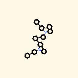 c1ccc(-c2ccc(N(c3cccc(-c4ccccc4-c4ccc5c6ccccc6n(-c6ccc(-c7ccccc7)cc6)c5c4)c3)c3cccc4ccccc34)cc2)cc1